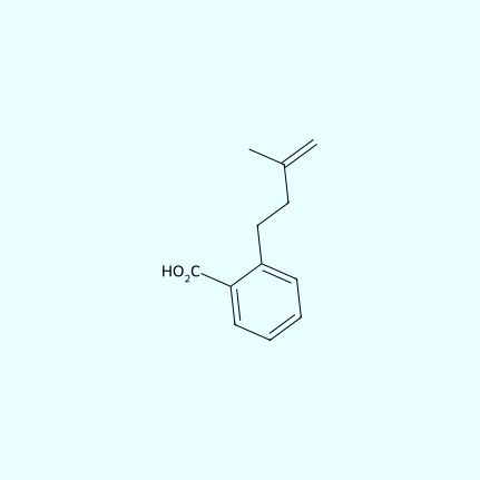 C=C(C)CCc1ccccc1C(=O)O